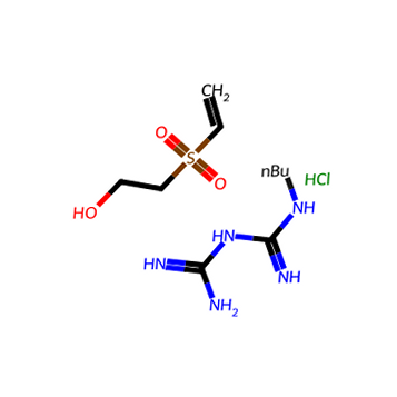 C=CS(=O)(=O)CCO.CCCCNC(=N)NC(=N)N.Cl